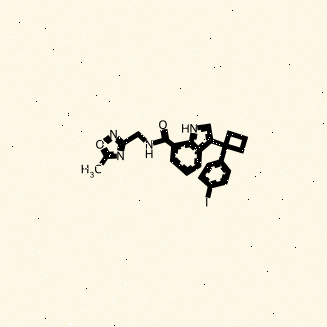 Cc1nc(CNC(=O)c2cccc3c(C4(c5ccc(I)cc5)CCC4)c[nH]c23)no1